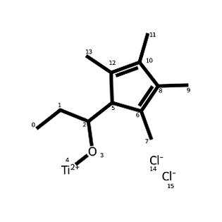 CCC([O][Ti+2])C1C(C)=C(C)C(C)=C1C.[Cl-].[Cl-]